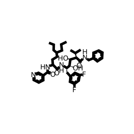 CCCC(CCC)CCC(NC(=O)c1cccnc1)C(=O)N[C@@H](Cc1cc(F)cc(F)c1)[C@@H](O)[C@H](O)[C@H](C(=O)NCc1ccccc1)C(C)C